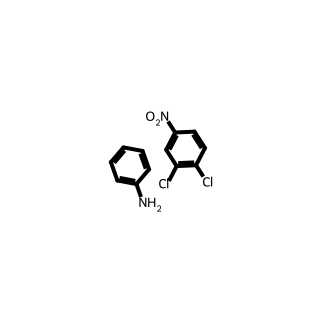 Nc1ccccc1.O=[N+]([O-])c1ccc(Cl)c(Cl)c1